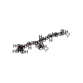 CC(=O)CC[C@@H](CCCCNC(=O)COCCOCCNC(=O)COCCOCCNC(=O)CCCC(=O)NCCCC[C@H](CC(=O)COCCOCCNC(=O)COCCOCCNC(=O)CN1CCN(CC(=O)O)CCN(CC(=O)O)CCN(CC(=O)O)CC1)C(=O)NCCCC[C@H](NCC(C)=O)C(N)=O)C(N)=O